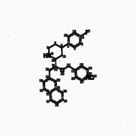 Cl.Fc1ccc(C2CCNC([C@H](Cc3ccc4ccccc4c3)OCc3ccccc3)C2)cc1